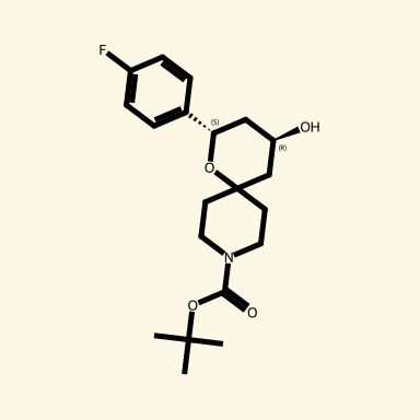 CC(C)(C)OC(=O)N1CCC2(CC1)C[C@H](O)C[C@@H](c1ccc(F)cc1)O2